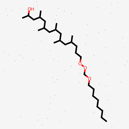 CCCCCCCCOCOOCCCC(C)CC(C)CC(C)CC(C)CC(C)CC(C)O